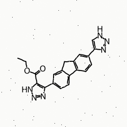 CCOC(=O)c1[nH]nnc1-c1ccc2c(c1)Cc1cc(-c3c[nH]nn3)ccc1-2